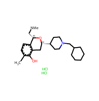 CNC[C@@H]1O[C@H](C2CCN(CC3CCCCC3)CC2)Cc2c1ccc(C)c2O.Cl.Cl